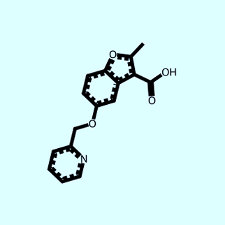 Cc1oc2ccc(OCc3ccccn3)cc2c1C(=O)O